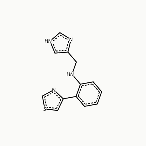 c1ccc(-c2cscn2)c(NCc2c[nH]cn2)c1